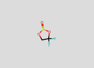 O=S1OCC(F)(F)O1